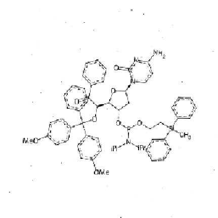 COc1ccc(C(OC(C(=O)c2ccccc2)[C@H]2O[C@@H](n3ccc(N)nc3=O)C[C@@H]2OP(OCC[Si](C)(c2ccccc2)c2ccccc2)N(C(C)C)C(C)C)(c2ccccc2)c2ccc(OC)cc2)cc1